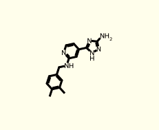 Cc1ccc(CNc2cc(-c3nc(N)n[nH]3)ccn2)cc1C